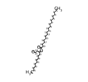 CCCCCCCCCCCCCCCCCCCCC(=O)OC(CC=O)CCCCCCCCCC